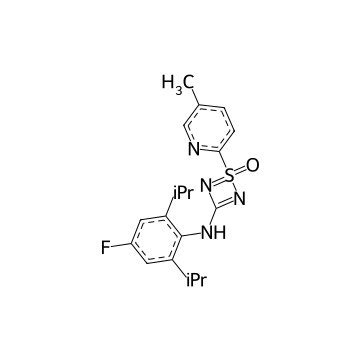 Cc1ccc(S2(=O)=NC(Nc3c(C(C)C)cc(F)cc3C(C)C)=N2)nc1